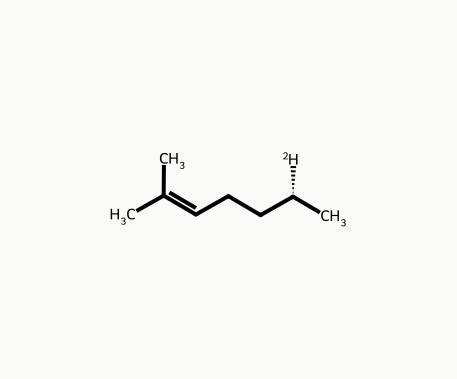 [2H][C@H](C)CCC=C(C)C